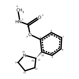 CNC(=O)Oc1ccccc1[C@@H]1CCC[N]1